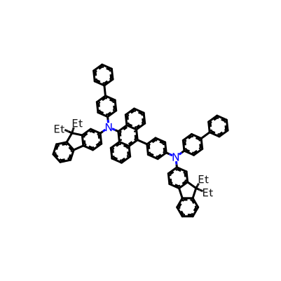 CCC1(CC)c2ccccc2-c2ccc(N(c3ccc(-c4ccccc4)cc3)c3ccc(-c4c5ccccc5c(N(c5ccc(-c6ccccc6)cc5)c5ccc6c(c5)C(CC)(CC)c5ccccc5-6)c5ccccc45)cc3)cc21